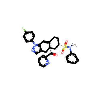 CN(c1ccccc1)S(=O)(=O)[C@H]1CCC2=Cc3c(cnn3-c3ccc(F)cc3)C[C@]2(C(=O)c2ccccn2)C1